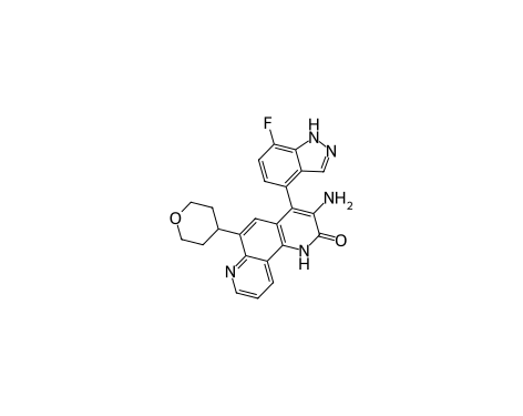 Nc1c(-c2ccc(F)c3[nH]ncc23)c2cc(C3CCOCC3)c3ncccc3c2[nH]c1=O